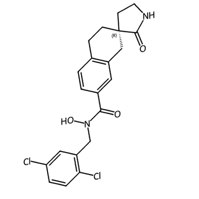 O=C(c1ccc2c(c1)C[C@@]1(CCNC1=O)CC2)N(O)Cc1cc(Cl)ccc1Cl